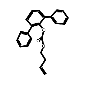 C=CCCOC(=O)Oc1c(-c2ccccc2)cccc1-c1ccccc1